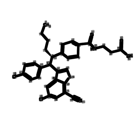 CCCC[C@H](c1ccc(C(=O)NCCC(=O)O)cc1)C(c1ccc(Cl)cc1)c1csc2c(C#N)cc(Cl)cc12